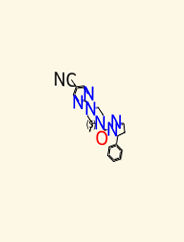 C[C@H]1CN(c2ncc(C#N)cn2)CCN1C(=O)N1N=CCC1c1ccccc1